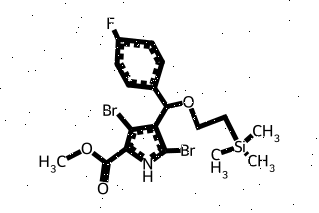 COC(=O)c1[nH]c(Br)c(C(OCC[Si](C)(C)C)c2ccc(F)cc2)c1Br